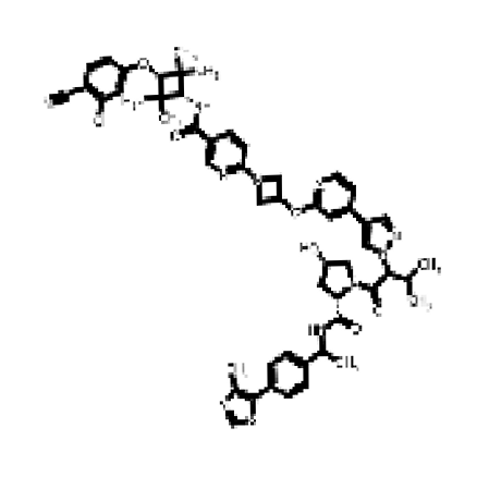 Cc1ncsc1-c1ccc(C(C)NC(=O)[C@@H]2C[C@@H](O)CN2C(=O)C(C(C)C)n2cc(-c3ccnc(OC4CN(c5ccc(C(=O)N[C@H]6C(C)(C)[C@H](Oc7ccc(C#N)c(Cl)c7)C6(C)C)cn5)C4)c3)cn2)cc1